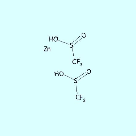 O=S(O)C(F)(F)F.O=S(O)C(F)(F)F.[Zn]